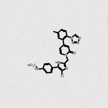 Cc1ccc(-n2cnnn2)c(-c2ccn(Cc3nc(Cl)c(-c4ccc(NC(=O)O)cc4)[nH]3)c(=O)c2)c1